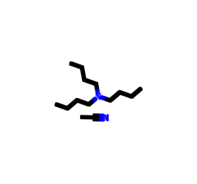 CC#N.CCCCN(CCCC)CCCC